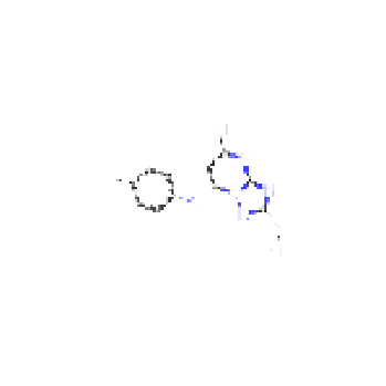 CCc1nc2nc(C)cc(Nc3ccc(C)cc3)n2n1